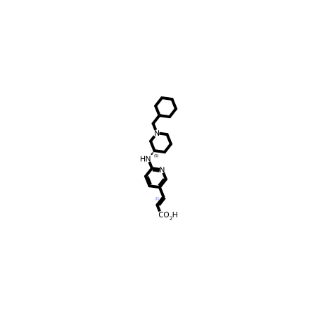 O=C(O)/C=C/c1ccc(N[C@H]2CCCN(CC3CCCCC3)C2)nc1